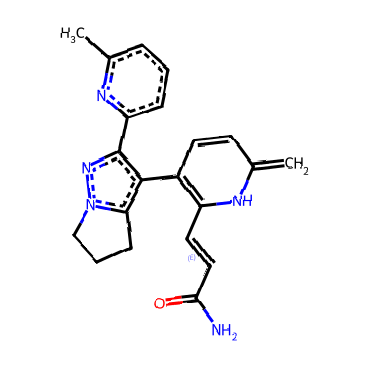 C=C1C=CC(c2c(-c3cccc(C)n3)nn3c2CCC3)=C(/C=C/C(N)=O)N1